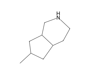 CC1CC2CCNCC2C1